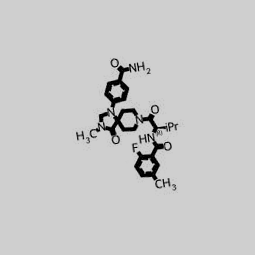 Cc1ccc(F)c(C(=O)N[C@@H](C(=O)N2CCC3(CC2)C(=O)N(C)CN3c2ccc(C(N)=O)cc2)C(C)C)c1